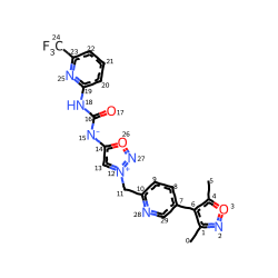 Cc1noc(C)c1-c1ccc(C[n+]2cc([N-]C(=O)Nc3cccc(C(F)(F)F)n3)on2)nc1